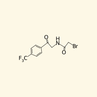 O=C(CBr)NCC(=O)c1ccc(C(F)(F)F)cc1